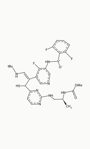 COC(=O)N[C@@H](C)CNc1nccc(C(S)/C(=C\NC(C)(C)C)c2cncc(N[S+]([O-])c3c(F)cccc3F)c2F)n1